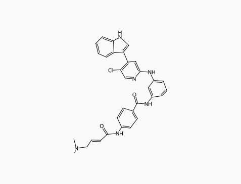 CN(C)CC=CC(=O)Nc1ccc(C(=O)Nc2cccc(Nc3cc(-c4c[nH]c5ccccc45)c(Cl)cn3)c2)cc1